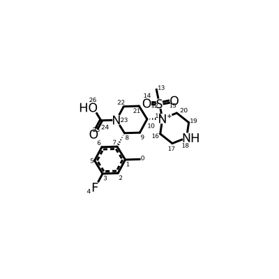 Cc1cc(F)ccc1[C@H]1C[C@@H]([N+]2(S(C)(=O)=O)CCNCC2)CCN1C(=O)O